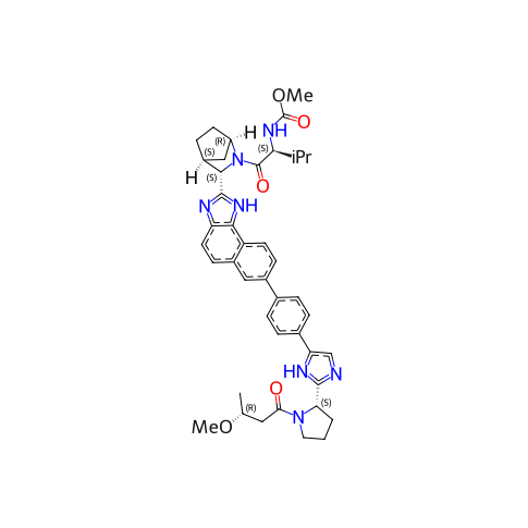 COC(=O)N[C@H](C(=O)N1[C@@H]2CC[C@@H](C2)[C@H]1c1nc2ccc3cc(-c4ccc(-c5cnc([C@@H]6CCCN6C(=O)C[C@@H](C)OC)[nH]5)cc4)ccc3c2[nH]1)C(C)C